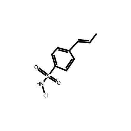 CC=Cc1ccc(S(=O)(=O)NCl)cc1